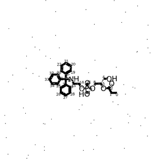 CCC(=O)O[C@@H](CO)COP(=O)(O)OCCNC(c1ccccc1)(c1ccccc1)c1ccccc1